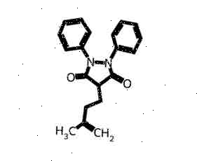 C=C(C)CCC1C(=O)N(c2ccccc2)N(c2ccccc2)C1=O